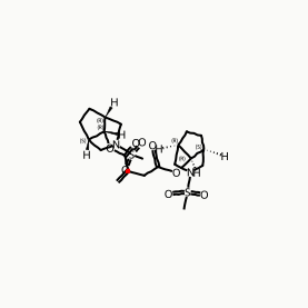 C=C(CC(=O)O[C@H]1[C@@H]2CC[C@H]1CN(S(C)(=O)=O)C2)C(=O)O[C@H]1[C@@H]2CC[C@H]1CN(S(C)(=O)=O)C2